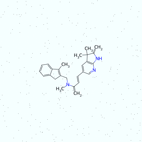 C=C(/C=C/c1cnc2c(c1)C(C)(C)C(=C)N2)N(C)CC1=C(C)c2ccccc2C1